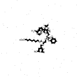 CCCCCCCCCCCCCCCCCOC[C@H](COP(=O)(OC[C@@]1(C)OCC2(c3ccc4c(N)ncnn34)OC(C)(C)O[C@@H]21)Oc1ccccc1Cl)OCc1cc(F)cc(C#N)c1